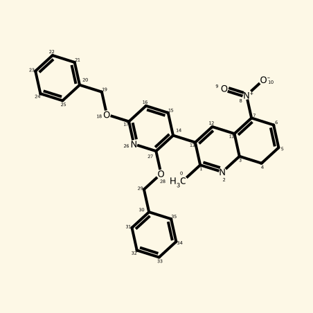 CC1=NC2CC=CC([N+](=O)[O-])=C2C=C1c1ccc(OCc2ccccc2)nc1OCc1ccccc1